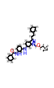 C[Si](C)(C)CCOCn1nc(C=Cc2ccccc2)c2ccc(Nc3cccc(NC(=O)c4ccccc4)c3)cc21